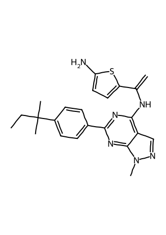 C=C(Nc1nc(-c2ccc(C(C)(C)CC)cc2)nc2c1cnn2C)c1ccc(N)s1